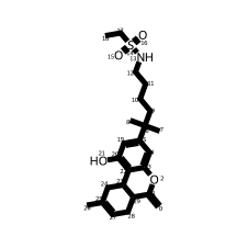 C=C1Oc2cc(C(C)(C)CCCCNS(=O)(=O)CC)cc(O)c2C2CC(C)=CCC12